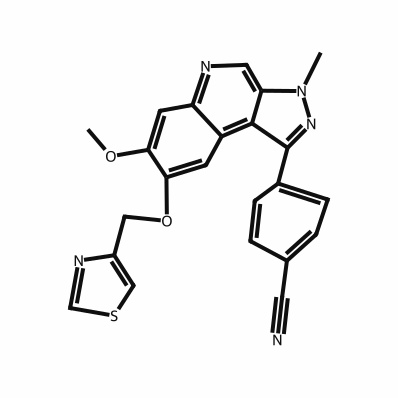 COc1cc2ncc3c(c(-c4ccc(C#N)cc4)nn3C)c2cc1OCc1cscn1